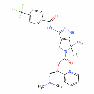 CN(C)C[C@@H](OC(=O)N1Cc2c(NC(=O)c3ccc(C(F)(F)F)cc3)n[nH]c2C1(C)C)c1ccccn1